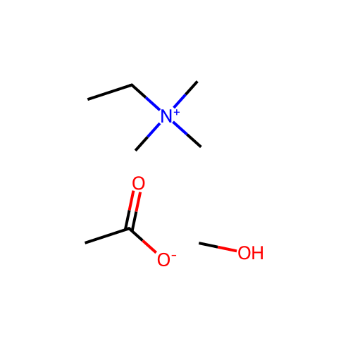 CC(=O)[O-].CC[N+](C)(C)C.CO